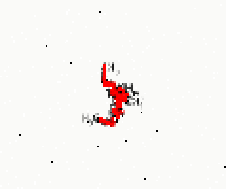 CCCCCCc1ccc(-c2ccc(-c3cc(F)c(-c4cc5c(s4)-c4sc(-c6c(F)c(F)c(-c7ccc(-c8ccc(CCCCCC)s8)s7)c7nsnc67)cc4[Si]5(CC(CC)CCCC)CC(CC)CCCC)c4nsnc34)s2)s1